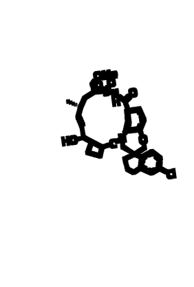 COC[C@@H]1C[C@@H](C)/C=C/[C@H](O)C2CCC2CN2C[C@@]3(CCCc4cc(Cl)ccc43)COc3ccc(cc32)C(=O)NS1(=O)=O